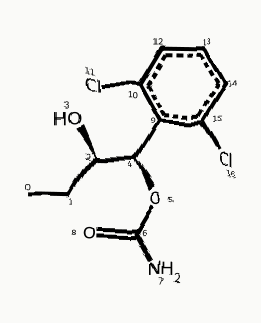 CC[C@@H](O)[C@H](OC(N)=O)c1c(Cl)cccc1Cl